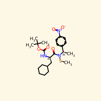 CSN(C(=O)[C@@H](CC1CCCCC1)NC(=O)OC(C)(C)C)[C@H](C)c1ccc([N+](=O)[O-])cc1